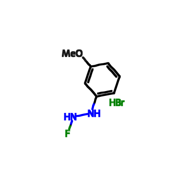 Br.COc1cccc(NNF)c1